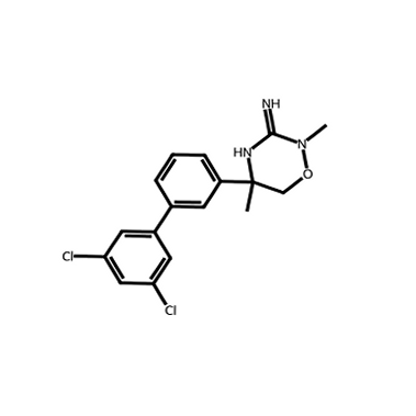 CN1OCC(C)(c2cccc(-c3cc(Cl)cc(Cl)c3)c2)NC1=N